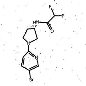 O=C(N[C@H]1CCN(c2ccc(Br)cn2)C1)C(F)F